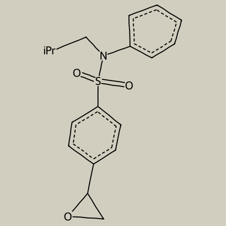 CC(C)CN(c1ccccc1)S(=O)(=O)c1ccc(C2CO2)cc1